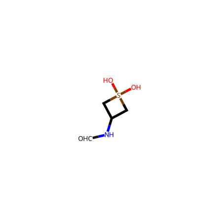 O=CNC1CS(O)(O)C1